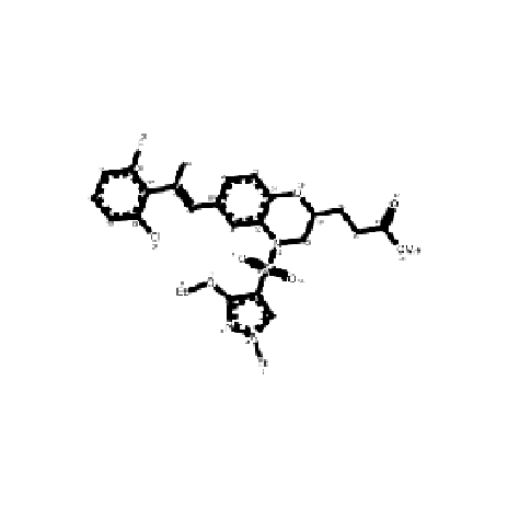 CCOc1nn(CC)cc1S(=O)(=O)N1CC(CCC(=O)OC)Oc2ccc(C=C(C)c3c(F)cccc3Cl)cc21